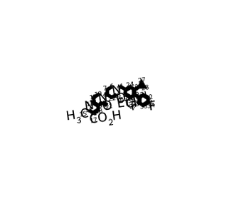 CCOc1c(CN2CCC(N3CCc4nc(C)c(C(=O)O)cc4C3=O)CC2)cc(C2CC2)c(-c2ccc(F)cc2F)c1Cl